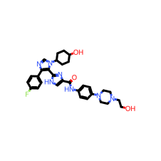 O=C(Nc1ccc(N2CCN(CCO)CC2)cc1)c1c[nH]c(-c2c(-c3ccc(F)cc3)ncn2C2CCC(O)CC2)n1